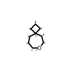 C1COCCC2(C1)CCC2